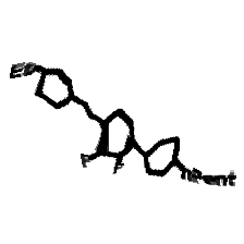 CCCCCC1CCC(c2ccc(CCC3C=CC(CC)CC3)c(F)c2F)CC1